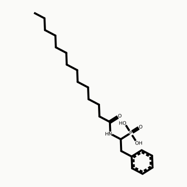 CCCCCCCCCCCCCC(=O)NC(Cc1ccccc1)P(=O)(O)O